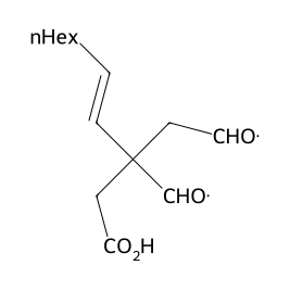 CCCCCCC=CC([C]=O)(C[C]=O)CC(=O)O